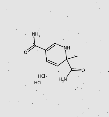 CC1(C(N)=O)C=CC(C(N)=O)=CN1.Cl.Cl